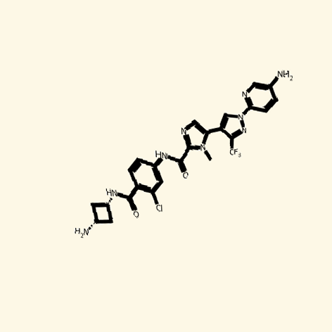 Cn1c(-c2cn(-c3ccc(N)cn3)nc2C(F)(F)F)cnc1C(=O)Nc1ccc(C(=O)N[C@H]2C[C@@H](N)C2)c(Cl)c1